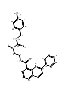 CN(CCNC(=O)c1cccc2ccc(-c3ccncc3)nc12)C(=O)NCc1ccc(P)cc1